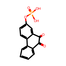 O=C1C(=O)c2cc(OP(=O)(O)O)ccc2-c2ccccc21